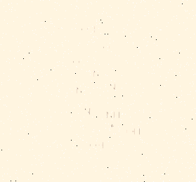 CC(O)[C@@H](Nc1ncnc2c1ncn2C1OC(CO)C(O)C1O)C(=O)O